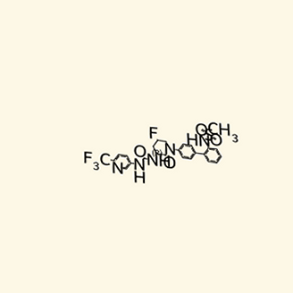 CS(=O)(=O)Nc1ccccc1-c1ccc(N2CC(F)C[C@@H](NC(=O)Nc3ccc(C(F)(F)F)nc3)C2=O)cc1